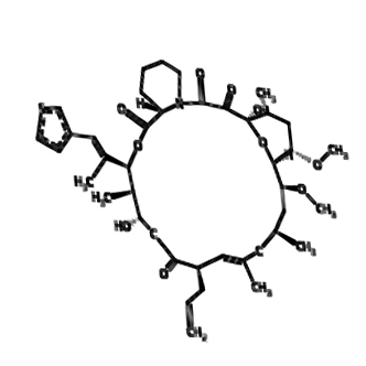 C=CC[C@@H]1/C=C(\C)C[C@H](C)C[C@H](OC)[C@H]2O[C@@](O)(C(=O)C(=O)N3CCCC[C@H]3C(=O)O[C@H](/C(C)=C/c3ccsc3)[C@H](C)[C@@H](O)CC1=O)[C@H](C)C[C@@H]2OC